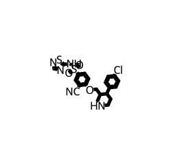 N#Cc1cc(S(=O)(=O)Nc2ncns2)ccc1OCC1CNCCC1c1ccc(Cl)cc1